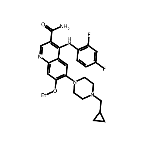 CCOc1cc2ncc(C(N)=O)c(Nc3ccc(F)cc3F)c2cc1N1CCN(CC2CC2)CC1